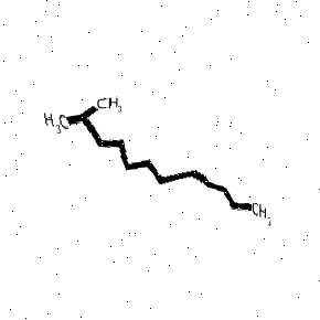 C[CH]CCCCCCCCC(C)C